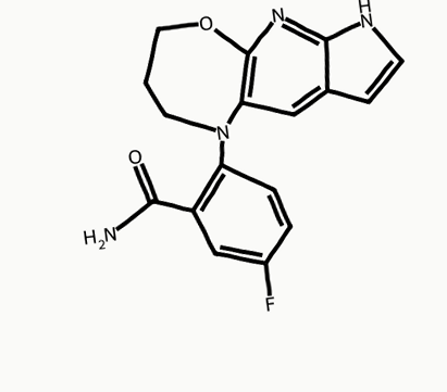 NC(=O)c1cc(F)ccc1N1CCCOc2nc3[nH]ccc3cc21